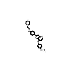 O=[N+]([O-])c1ccc(Oc2ccnc3cc(-c4ccc(OCCN5CCOCC5)cc4)sc23)cc1